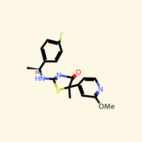 COc1cc(C2(C)SC(N[C@@H](C)c3ccc(F)cc3)=NC2=O)ccn1